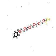 S=C(S)OCCOCCOCCOCCOCCOCc1ccccc1